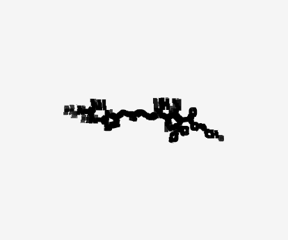 CCOC(=O)C1=C(N)C(NCCSCc2csc(NC(=N)N)n2)=NS1(=O)=O